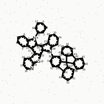 c1ccc(-n2c3ccccc3c3c4c5cccnc5sc4c4c(c5ccccc5n4-c4ccc5c(c4)C4(c6ccccc6-c6ccccc64)c4ccccc4-5)c32)cc1